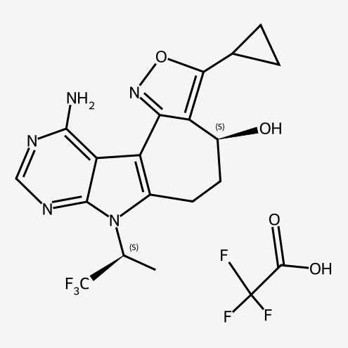 C[C@H](n1c2c(c3c(N)ncnc31)-c1noc(C3CC3)c1[C@@H](O)CC2)C(F)(F)F.O=C(O)C(F)(F)F